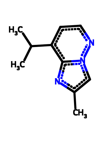 Cc1cn2nccc(C(C)C)c2n1